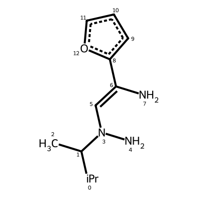 CC(C)C(C)N(N)/C=C(\N)c1ccco1